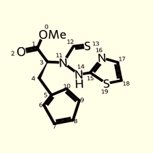 COC(=O)[C@H](Cc1ccccc1)N(C=S)Nc1nccs1